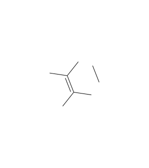 CC.CC(C)=C(C)C